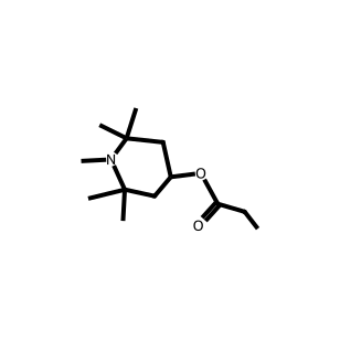 CCC(=O)OC1CC(C)(C)N(C)C(C)(C)C1